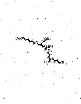 CCCCCCCCCCCCCCCCOCC(COP(=O)(O)OCCCN(C)CCCCN)OCOCC